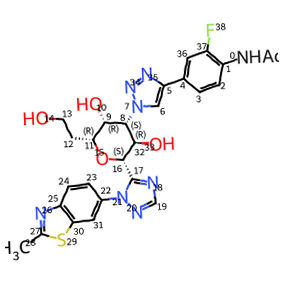 CC(=O)Nc1ccc(-c2cn([C@H]3[C@@H](O)[C@@H](CCO)O[C@@H](c4ncnn4-c4ccc5nc(C)sc5c4)[C@@H]3O)nn2)cc1F